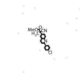 COC(=O)C(C)(C#N)c1ccc2nc(-c3ccc(Cl)cc3)ccc2c1